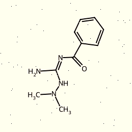 CN(C)NC(N)=NC(=O)c1ccccc1